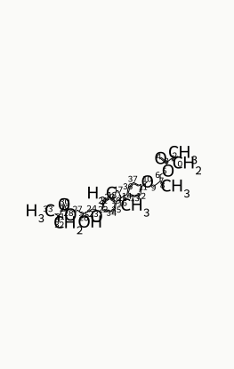 C=C(C)C(=O)OCC(C)COc1ccc(C(C)(CC)c2ccc(OCC(O)COC(=O)C(=C)C)cc2)cc1